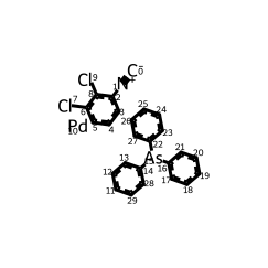 [C-]#[N+]c1cccc(Cl)c1Cl.[Pd].c1ccc([As](c2ccccc2)c2ccccc2)cc1